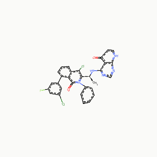 C[C@H](Nc1ncnc2[nH]ccc(=O)c12)c1c(Cl)c2cccc(-c3cc(F)cc(Cl)c3)c2c(=O)n1-c1ccccc1